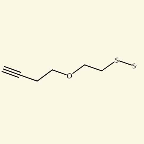 C#CCCOCCS[S]